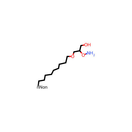 CCCCCCCCCCCCCCCCCCOCC(CO)ON